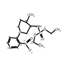 CCOP(=O)(NC1CN(c2ccncc2[N+](=O)[O-])CCC1C)OCC